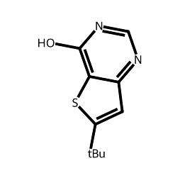 CC(C)(C)c1cc2ncnc(O)c2s1